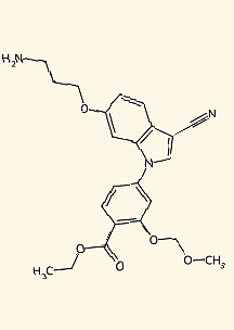 CCOC(=O)c1ccc(-n2cc(C#N)c3ccc(OCCCN)cc32)cc1OCOC